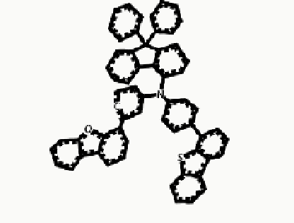 c1ccc(C2(c3ccccc3)c3ccccc3-c3c(N(c4ccc(-c5cccc6c5sc5ccccc56)cc4)c4cccc(-c5cccc6c5oc5ccccc56)c4)cccc32)cc1